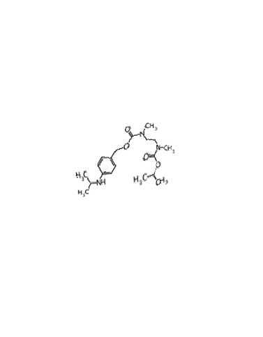 CC(C)Nc1ccc(COC(=O)N(C)CCN(C)C(=O)OC(C)C)cc1